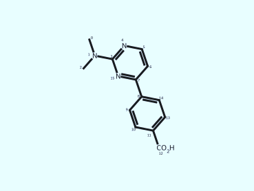 CN(C)c1nccc(-c2ccc(C(=O)O)cc2)n1